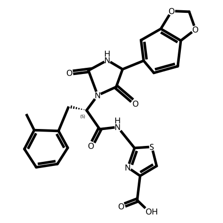 Cc1ccccc1C[C@@H](C(=O)Nc1nc(C(=O)O)cs1)N1C(=O)NC(c2ccc3c(c2)OCO3)C1=O